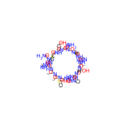 CCCC[C@H]1C(=O)N(C)[C@@H](CCCC)C(=O)N[C@@H](CCCNC(C)=N)C(=O)N[C@H](C(=O)NCC(N)=O)CSCC(=O)N[C@@H](Cc2ccc(O)cc2)C(=O)N(C)[C@@H](C)C(=O)N[C@@H](CC(N)=O)C(=O)N2CCC[C@H]2C(=O)N[C@@H](Cc2cnc[nH]2)C(=O)N[C@@H](CC(C)C)C(=O)N2C[C@H](O)C[C@H]2C(=O)N[C@@H](Cc2c[nH]c3ccccc23)C(=O)N[C@@H](CO)C(=O)N[C@@H](Cc2csc3ccccc23)C(=O)N1C